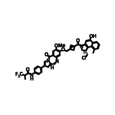 COc1cc2c(cc1OCC13CC(C(=O)N4C[C@@H](CCl)c5c4cc(O)c4cccc(C)c54)(C1)C3)N=C[C@@H]1CC(c3ccc(NC(=O)C(C)C(F)(F)F)cc3)=CN1C2=O